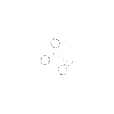 O=C(c1ccccc1)C(Oc1ccccc1[N+](=O)[O-])(Oc1ccccc1[N+](=O)[O-])C1CCCCC1